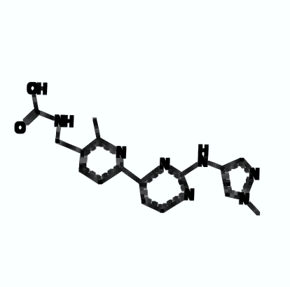 Cc1nc(-c2ccnc(Nc3cnn(C)c3)n2)ccc1CNC(=O)O